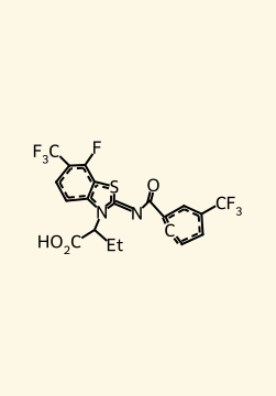 CCC(C(=O)O)n1/c(=N/C(=O)c2cccc(C(F)(F)F)c2)sc2c(F)c(C(F)(F)F)ccc21